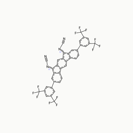 N#C/N=c1/c2cc(-c3cc(C(F)(F)F)cc(C(F)(F)F)c3)ccc2c2cc3c(cc12)/c(=N/C#N)c1cc(-c2cc(C(F)(F)F)cc(C(F)(F)F)c2)ccc13